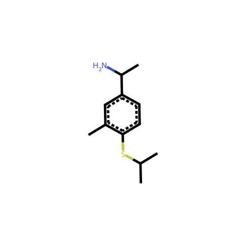 Cc1cc(C(C)N)ccc1SC(C)C